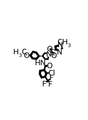 COc1ccc([C@H]2CN(S(=O)(=O)c3cn(C)cn3)C[C@@H]2NC(=O)c2cccc(C(F)(F)F)c2Cl)cc1